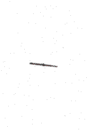 CCCCCCCCCCCCCCCCCCC[CH]SCCCCCCCCCCCCCCCCCCC